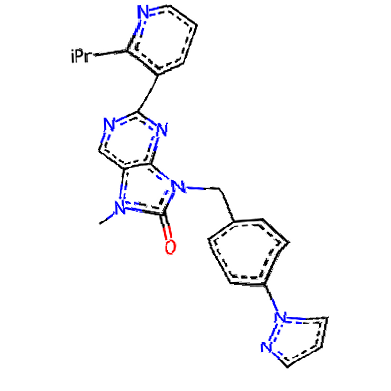 CC(C)c1ncccc1-c1ncc2c(n1)n(Cc1ccc(-n3cccn3)cc1)c(=O)n2C